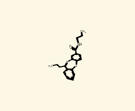 CCCNC(=O)c1ccc2c(c1)N=C(CCC)c1ccccc1S2